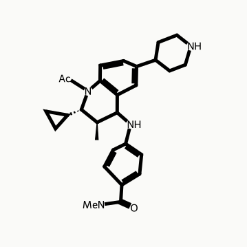 CNC(=O)c1ccc(NC2c3cc(C4CCNCC4)ccc3N(C(C)=O)[C@@H](C3CC3)[C@@H]2C)cc1